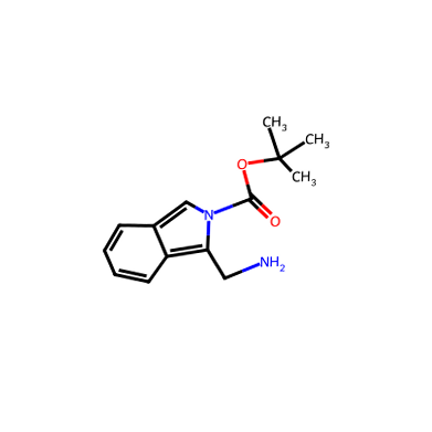 CC(C)(C)OC(=O)n1cc2ccccc2c1CN